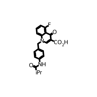 CC(C)C(=O)Nc1ccc(Cn2cc(C(=O)O)c(=O)c3c(F)cccc32)cc1